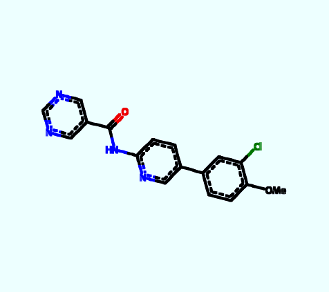 COc1ccc(-c2ccc(NC(=O)c3cncnc3)nc2)cc1Cl